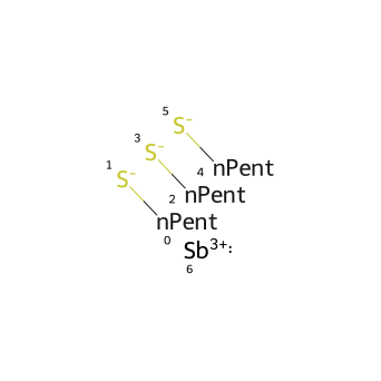 CCCCC[S-].CCCCC[S-].CCCCC[S-].[Sb+3]